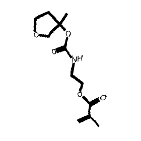 C=C(C)C(=O)OCCNC(=O)OC1(C)CCOC1